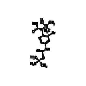 CC(C)(C)OC(=O)Nc1ccc(N(C(=O)O)C(C)(C)C)c(Br)c1